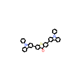 O=c1c2ccc(-c3ccc4c(c3)c3ccccc3n4-c3ccccc3)cc2sc2cc(-c3ccc4c(c3)c3ccccc3n4-c3ccccc3)ccc12